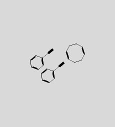 C#Cc1ccccc1.C#Cc1ccccc1.C1=CCCC=CCC1.[Pt]